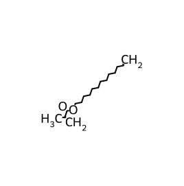 C=CCCCCCCCCCCCOC(=O)C(=C)C